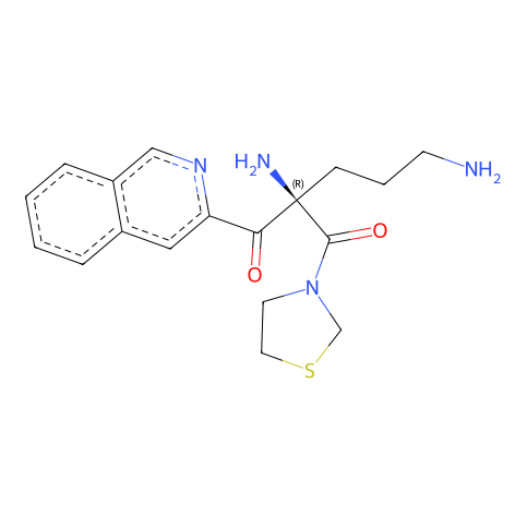 NCCC[C@@](N)(C(=O)c1cc2ccccc2cn1)C(=O)N1CCSC1